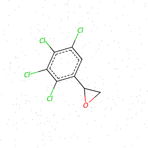 Clc1cc(C2CO2)c(Cl)c(Cl)c1Cl